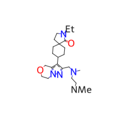 CCN1CCC2(CCC(c3c(CN(C)CCNC)nn4c3COCC4)CC2)C1=O